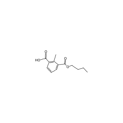 CCCCOC(=O)c1cccc(C(=O)O)c1C